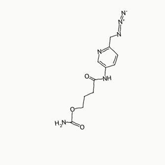 [N-]=[N+]=NCc1ccc(NC(=O)CCCOC(N)=O)cn1